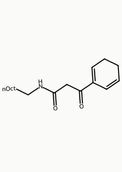 CCCCCCCCCNC(=O)CC(=O)C1=CCCC=C1